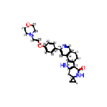 O=C1NC2(CC2)Cc2[nH]c3c(c21)CCc1cnc(-c2ccc(OCCN4CCOCC4)cc2)cc1-3